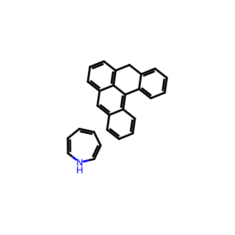 C1=CC=CNC=C1.c1ccc2c(c1)Cc1cccc3cc4ccccc4c-2c13